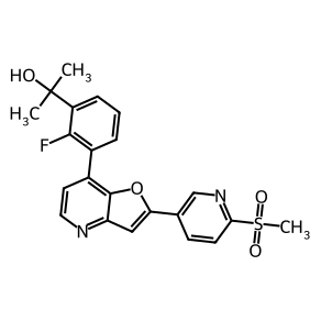 CC(C)(O)c1cccc(-c2ccnc3cc(-c4ccc(S(C)(=O)=O)nc4)oc23)c1F